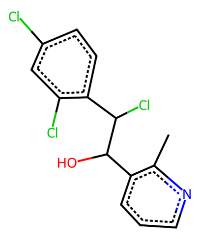 Cc1ncccc1C(O)C(Cl)c1ccc(Cl)cc1Cl